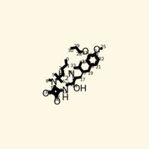 CCCCC(C)(C)N(C)c1c(NC[C@H](O)[C@@H](N)C[C@H](Cc2ccc(OC)c(OCCC)c2)C(C)C)c(=O)c1=O